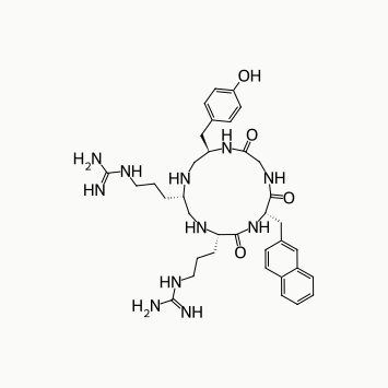 N=C(N)NCCC[C@H]1CN[C@@H](CCCNC(=N)N)C(=O)N[C@@H](Cc2ccc3ccccc3c2)C(=O)NCC(=O)N[C@H](Cc2ccc(O)cc2)CN1